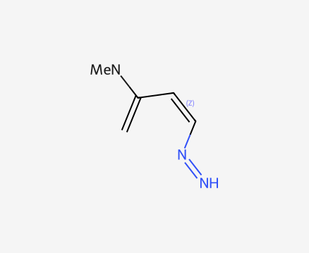 C=C(/C=C\N=N)NC